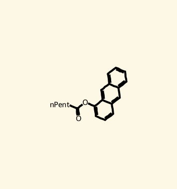 CCCCCC(=O)Oc1cccc2cc3ccccc3cc12